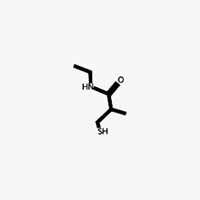 CCNC(=O)C(C)CS